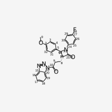 COc1ccc([C@@H]2[C@@H](CCC(=O)n3nnc4ccccc43)C(=O)N2c2ccc(F)cc2)cc1